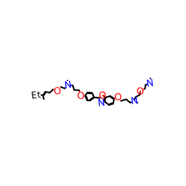 CC/C(C)=C/CCOCCN(C)CCCOc1ccc(-c2nc3ccc(OCCCN(C)CCOCCN(C)C)cc3o2)cc1